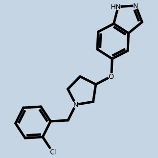 Clc1ccccc1CN1CCC(Oc2ccc3[nH]ncc3c2)C1